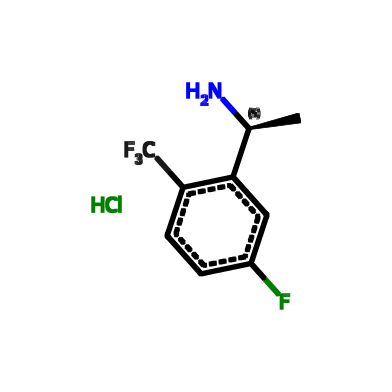 C[C@H](N)c1cc(F)ccc1C(F)(F)F.Cl